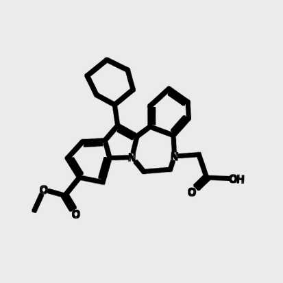 COC(=O)c1ccc2c(C3CCCCC3)c3n(c2c1)CCN(CC(=O)O)c1ccccc1-3